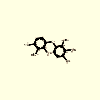 CCCCc1ccc(Oc2ccc(CCCC)c(CCCC)c2CCCC)c(CCCC)c1CCCC